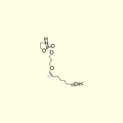 CCCCCCCCCCCCCC/C=C\OC[CH]COP1(=O)NCCO1